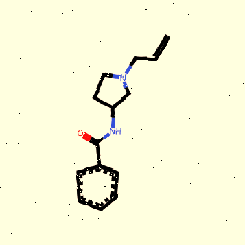 C=CCN1CCC(NC(=O)c2ccccc2)C1